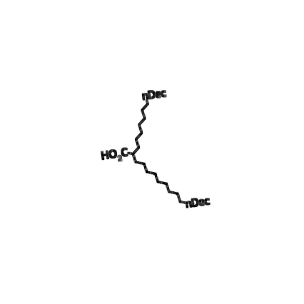 CCCCCCCCCCCCCCCCCCCC(CCCCCCCCCCCCCCCCC)C(=O)O